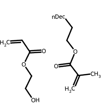 C=C(C)C(=O)OCCCCCCCCCCCC.C=CC(=O)OCCO